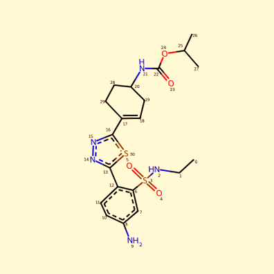 CCNS(=O)(=O)c1cc(N)ccc1-c1nnc(C2=CCC(NC(=O)OC(C)C)CC2)s1